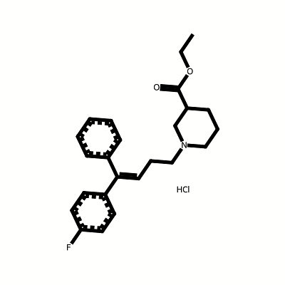 CCOC(=O)C1CCCN(CC/C=C(\c2ccccc2)c2ccc(F)cc2)C1.Cl